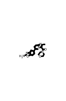 Cc1nc2ccc(-c3ccc4oc(N)nc4c3)cn2c1C(=O)N1CCOCC1